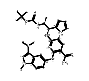 C[C@H](NC(=O)OC(C)(C)C)[C@H](Nc1nc(Nc2ccc3c(c2)c(N(C)C)nn3C)c(C(N)=O)cc1F)c1cccs1